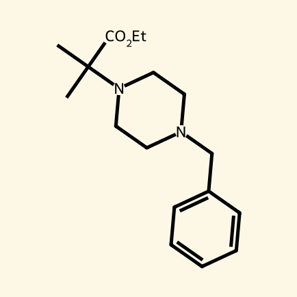 CCOC(=O)C(C)(C)N1CCN(Cc2ccccc2)CC1